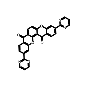 O=c1c2ccc(-c3ncccn3)cc2oc2c1ccc1oc3cc(-c4ncccn4)ccc3c(=O)c12